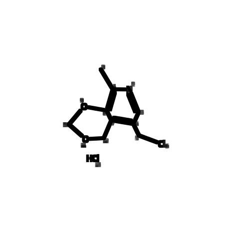 Cc1ncc(CCl)c2c1OCOC2.Cl